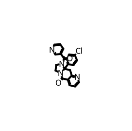 O=C(c1cccnc1)N1CCN2C(=O)c3cccnc3CC12c1ccc(Cl)cn1